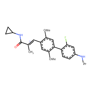 COc1cc(-c2ccc(NC(C)C)cc2F)c(OC)cc1/C=C(\C)C(=O)NC1CC1